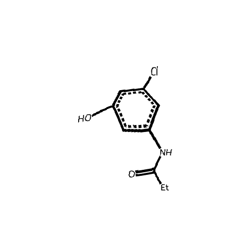 CCC(=O)Nc1cc(O)cc(Cl)c1